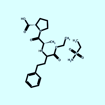 CCOC(=O)C(CCc1ccccc1)N[C@@H](C)C(=O)N1CCC[C@H]1C(=O)O.CCS(N)(=O)=O